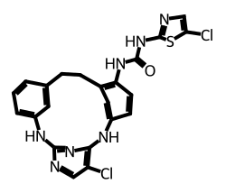 O=C(Nc1ncc(Cl)s1)Nc1ccc2cc1CCc1cccc(c1)Nc1ncc(Cl)c(n1)N2